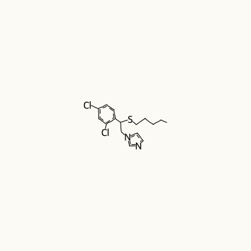 CCCCCSC(Cn1ccnc1)c1ccc(Cl)cc1Cl